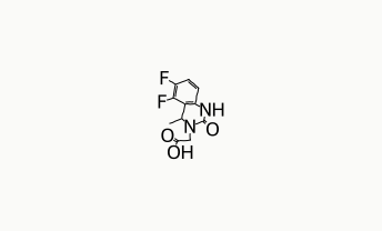 CC1c2c(ccc(F)c2F)NC(=O)N1CC(=O)O